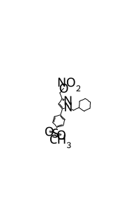 CS(=O)(=O)c1ccc(-c2cc(CO[N+](=O)[O-])nn2CC2CCCCC2)cc1